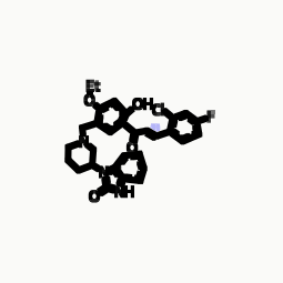 CCOc1cc(O)c(C(=O)/C=C/c2ccc(F)cc2Cl)cc1CN1CCCC(n2c(=O)[nH]c3ccccc32)C1